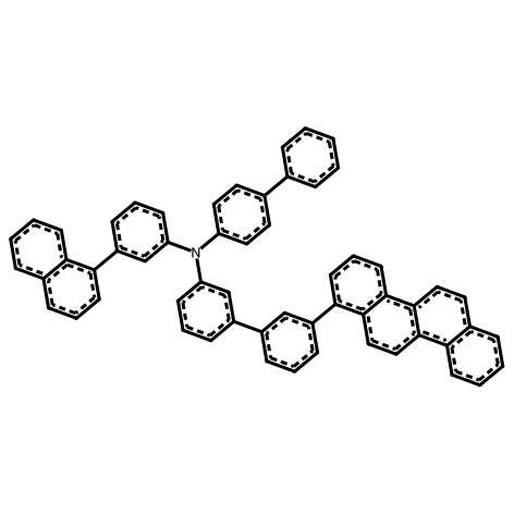 c1ccc(-c2ccc(N(c3cccc(-c4cccc(-c5cccc6c5ccc5c7ccccc7ccc65)c4)c3)c3cccc(-c4cccc5ccccc45)c3)cc2)cc1